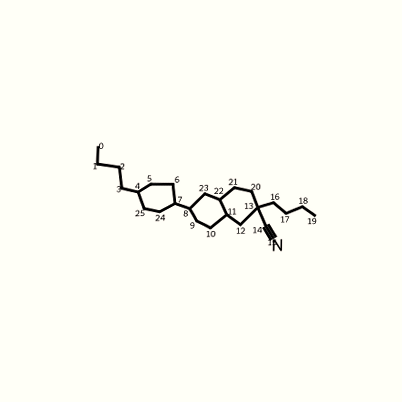 CCCCC1CCC(C2CCC3CC(C#N)(CCCC)CCC3C2)CC1